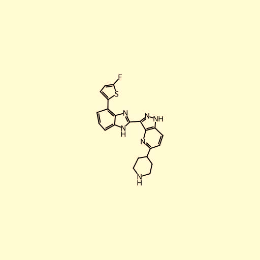 Fc1ccc(-c2cccc3[nH]c(-c4n[nH]c5ccc(C6CCNCC6)nc45)nc23)s1